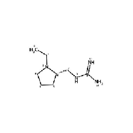 CCN1CCC[C@H]1CNC(=N)N